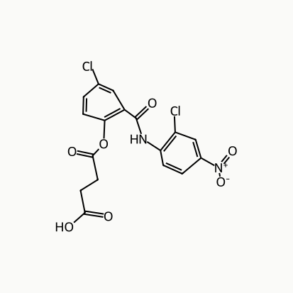 O=C(O)CCC(=O)Oc1ccc(Cl)cc1C(=O)Nc1ccc([N+](=O)[O-])cc1Cl